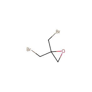 BrCC1(CBr)CO1